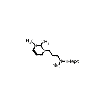 CCCCCCCN(CCCC)CCCN1CC=CN(C)C1C